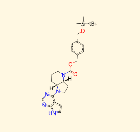 CC(C)(C)[Si](C)(C)OCc1ccc(COC(=O)N2CCC[C@@H]3[C@H]2CCN3c2ncnc3[nH]ccc23)cc1